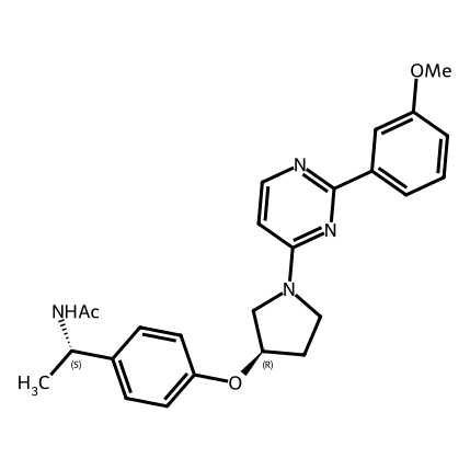 COc1cccc(-c2nccc(N3CC[C@@H](Oc4ccc([C@H](C)NC(C)=O)cc4)C3)n2)c1